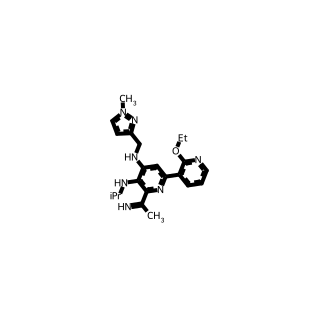 CCOc1ncccc1-c1cc(NCc2ccn(C)n2)c(NC(C)C)c(C(C)=N)n1